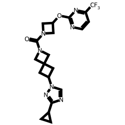 O=C(N1CC(Oc2nccc(C(F)(F)F)n2)C1)N1CC2(CC(n3cnc(C4CC4)n3)C2)C1